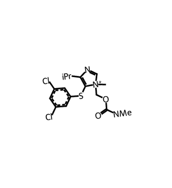 CNC(=O)OC[N+]1(C)C=NC(C(C)C)=C1Sc1cc(Cl)cc(Cl)c1